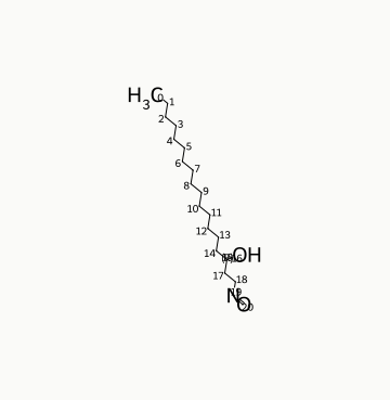 CCCCCCCCCCCCCCC[C@@H](O)CCN=O